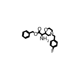 NC(C(=O)OCc1ccccc1)C1CN(Cc2ccc(F)cc2)CCO1